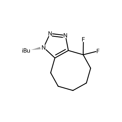 CC[C@@H](C)n1nnc2c1CCCCCC2(F)F